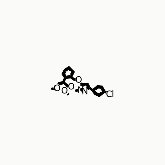 CO/C=C(\C(=O)OC)c1ccccc1COc1cc(-c2ccc(Cl)cc2)nn1C